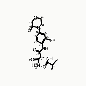 CC(C)C(=O)N[C@H](C(N)=O)C(=O)Nc1ccc(N2CCOCC2=O)cc1F